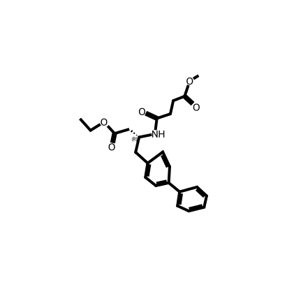 CCOC(=O)C[C@@H](Cc1ccc(-c2ccccc2)cc1)NC(=O)CCC(=O)OC